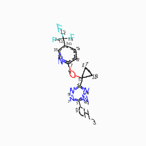 Cc1nnc(C2(Oc3ccc(C(F)(F)F)cn3)CC2)nn1